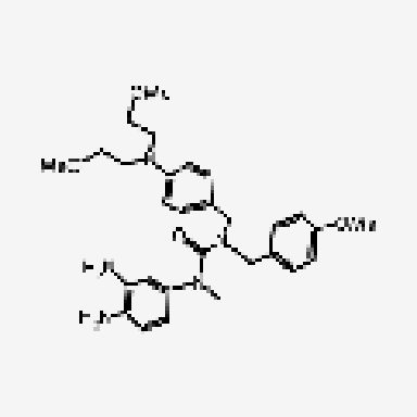 COCCN(CCOC)c1ccc(CN(Cc2ccc(OC)cc2)C(=O)N(C)c2ccc(N)c(N)c2)cc1